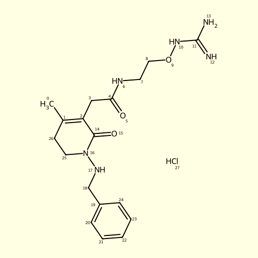 CC1=C(CC(=O)NCCONC(=N)N)C(=O)N(NCc2ccccc2)CC1.Cl